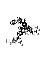 C[C@@H]1CN(c2cc(F)c(-c3ccnc(N4CCOCC4)n3)cc2NC(=O)c2cnc(OCC[Si](C)(C)C)cc2C(F)F)C[C@H](C)N1C